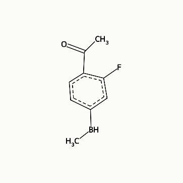 CBc1ccc(C(C)=O)c(F)c1